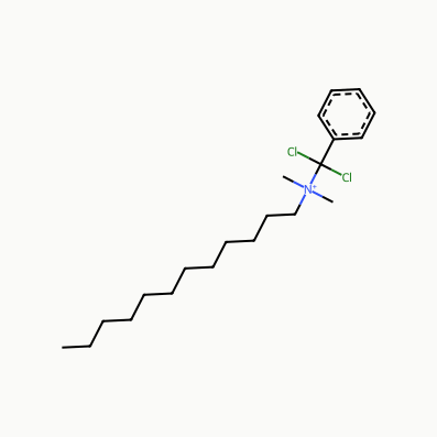 CCCCCCCCCCCC[N+](C)(C)C(Cl)(Cl)c1ccccc1